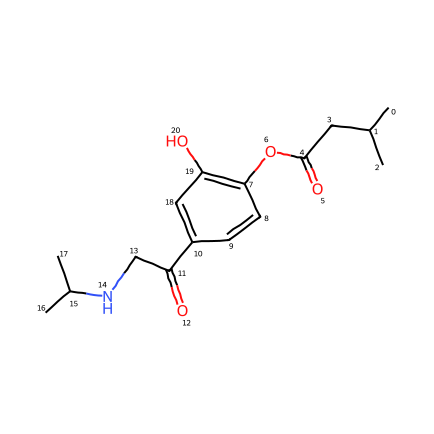 CC(C)CC(=O)Oc1ccc(C(=O)CNC(C)C)cc1O